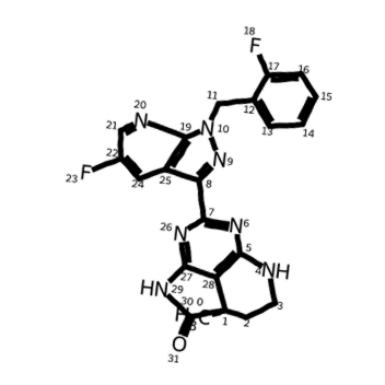 CC12CCNc3nc(-c4nn(Cc5ccccc5F)c5ncc(F)cc45)nc(c31)NC2=O